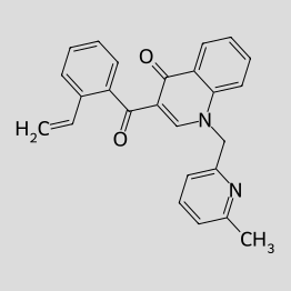 C=Cc1ccccc1C(=O)c1cn(Cc2cccc(C)n2)c2ccccc2c1=O